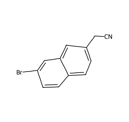 N#CCc1ccc2ccc(Br)cc2c1